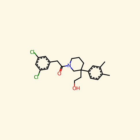 Cc1ccc(C2(CCO)CCCN(C(=O)Cc3cc(Cl)cc(Cl)c3)C2)cc1C